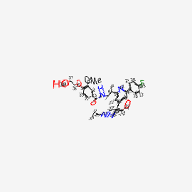 COc1cc(C(=O)NCC(C)c2cc3c(c(-c4ccc(F)cc4)n2)OC[C@]3(C)CNC2CC2)ccc1OCCO